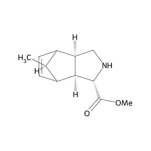 COC(=O)[C@H]1NC[C@@H]2C3C=CC([C@H]3C)[C@H]12